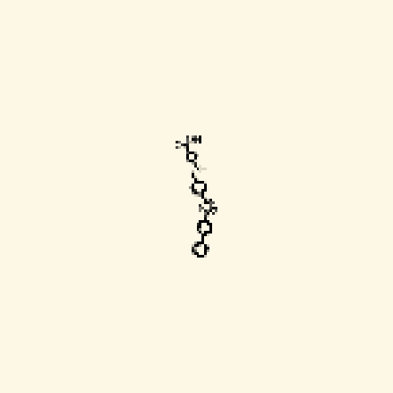 O=C(O)C1CC(NCc2ccc(-c3noc(-c4ccc(-c5ccccc5)cc4)n3)cc2)C1